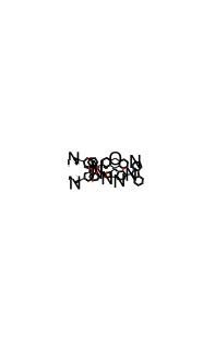 N#Cc1ccc2c(c1)c1ccccc1n2-c1ccc2c(c1)C1(c3ccccc3O2)c2cc(-n3c4ccccc4c4cc(C#N)ccc43)cnc2-c2ncc(-n3c4ccccc4c4ccncc43)cc21